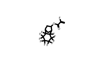 C=C(F)C(=O)OC1CC2CC1C1(F)C(F)(F)C(F)(F)C(F)(F)C(F)(F)C21F